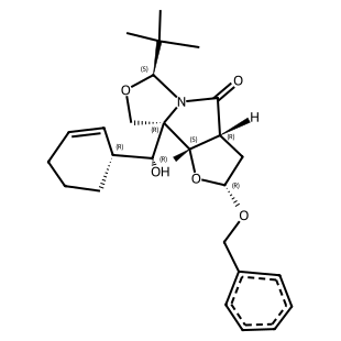 CC(C)(C)[C@@H]1OC[C@]2([C@H](O)[C@H]3C=CCCC3)N1C(=O)[C@@H]1C[C@H](OCc3ccccc3)O[C@@]12C